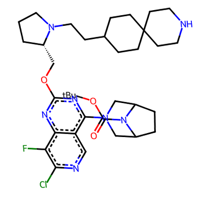 CC(C)(C)OC(=O)N1C2CCC1CN(c1nc(OC[C@@H]3CCCN3CCC3CCC4(CCNCC4)CC3)nc3c(F)c(Cl)ncc13)C2